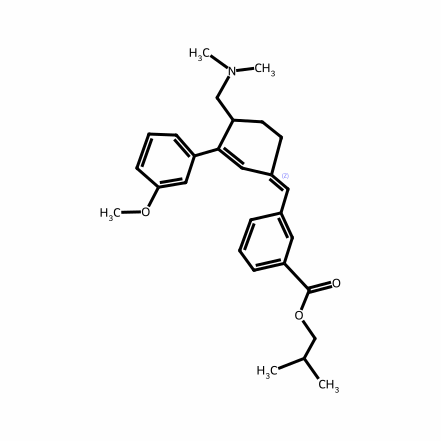 COc1cccc(C2=C/C(=C\c3cccc(C(=O)OCC(C)C)c3)CCC2CN(C)C)c1